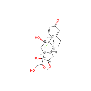 CO[C@@H]1C[C@H]2[C@@H]3CCC4=CC(=O)C=C[C@]4(C)C3(F)[C@H](O)C[C@]2(C)[C@@]1(O)C(=O)CO